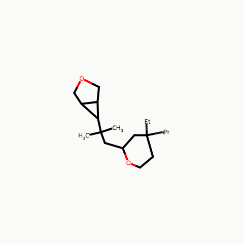 CCC1(C(C)C)CCOC(CC(C)(C)C2C3COCC32)C1